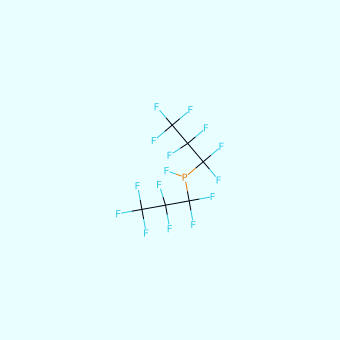 FP(C(F)(F)C(F)(F)C(F)(F)F)C(F)(F)C(F)(F)C(F)(F)F